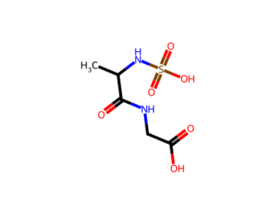 CC(NS(=O)(=O)O)C(=O)NCC(=O)O